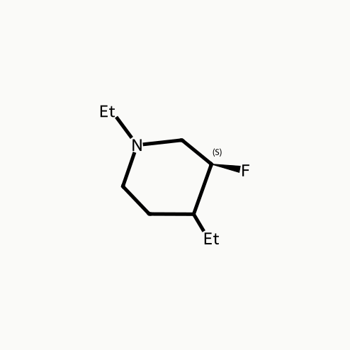 CCC1CCN(CC)C[C@H]1F